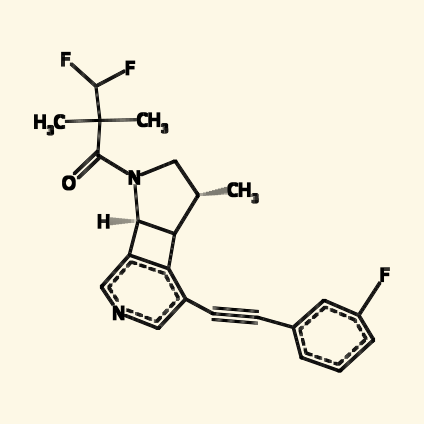 C[C@H]1CN(C(=O)C(C)(C)C(F)F)[C@@H]2c3cncc(C#Cc4cccc(F)c4)c3C21